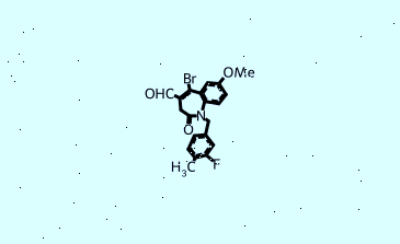 COc1ccc2c(c1)C(Br)=C(C=O)CC(=O)N2Cc1ccc(C)c(F)c1